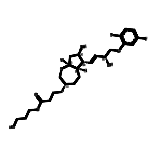 O=C(CCC[C@H]1CC[C@@H]2[C@@H](C=C[C@@H](O)COc3cc(F)ccc3F)[C@H](O)C[C@@H]2OC1)OCCCO